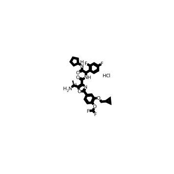 C[C@H](N)c1oc(-c2ccc(OC(F)F)c(OCC3CC3)c2)nc1C(=O)NC(C(=O)NC1CCCC1)c1ccc(F)cc1F.Cl